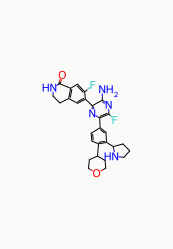 Nc1nc(F)c(-c2ccc(C3CCOCC3)c(C3CCCN3)c2)nc1-c1cc2c(cc1F)C(=O)NCC2